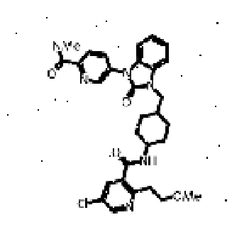 CNC(=O)c1ccc(-n2c(=O)n(CC3CCC(NC(=O)c4cc(Cl)cnc4CCOC)CC3)c3ccccc32)cn1